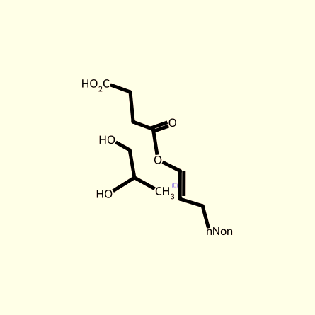 CC(O)CO.CCCCCCCCCC/C=C/OC(=O)CCC(=O)O